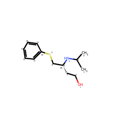 CC(C)N[C@H](CCO)CSc1ccccc1